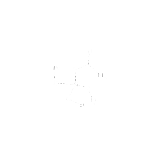 CCO[Si](CC(C)N)(OCC)OC(C)CC